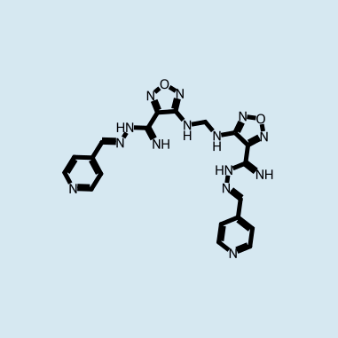 N=C(N/N=C/c1ccncc1)c1nonc1NCNc1nonc1C(=N)N/N=C/c1ccncc1